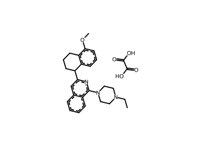 CCN1CCN(c2nc(C3CCCc4c(OC)cccc43)cc3ccccc23)CC1.O=C(O)C(=O)O